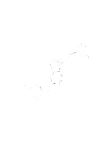 CC(C)=CCn1ccc2cc(CC(C)=CC(=O)O)ccc21